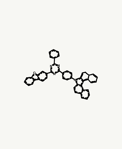 C1=CC2=c3c(n(-c4ccc(-c5nc(-c6ccccc6)nc(-c6ccc7c(c6)oc6ccccc67)n5)cc4)c4ccc5ccccc5c34)=CCC2C=C1